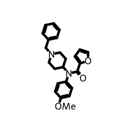 COc1ccc(N(C(=O)c2ccco2)C2CCN(Cc3ccccc3)CC2)cc1